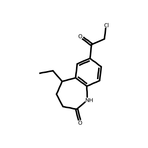 CCC1CCC(=O)Nc2ccc(C(=O)CCl)cc21